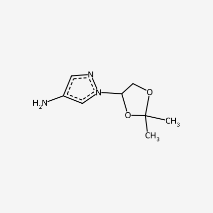 CC1(C)OCC(n2cc(N)cn2)O1